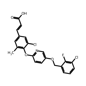 Cc1cc(C=CC(=O)O)cc(Cl)c1Oc1ccc(OCc2cccc(Cl)c2F)cn1